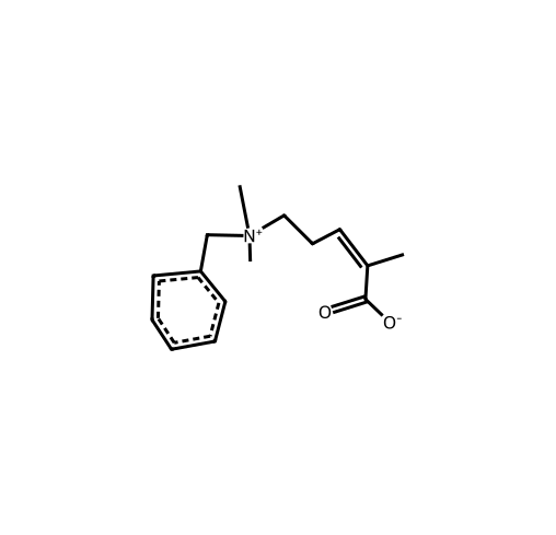 CC(=CCC[N+](C)(C)Cc1ccccc1)C(=O)[O-]